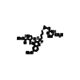 CC[C@@H]1[C@@H](Oc2nc3cc(OC)ccc3nc2C(F)(F)CCCC[C@@H]2C[C@H]2OC(=O)N[C@H](C(=O)O)C(C)(C)C)CN[C@@H]1C(=O)OC